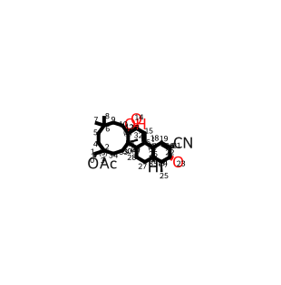 CC(=O)OC[C@@]1(C)CCC(C)(C)CC[C@@]2(O)C(=O)C=C3[C@@]4(C)C=C(C#N)C(=O)[C@@H](C)[C@@H]4CC[C@@]3(C)[C@]2(C)CC1